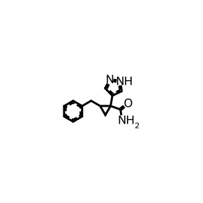 NC(=O)C1(c2cn[nH]c2)CC1Cc1ccccc1